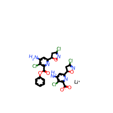 Nc1cc(C2CC(Cl)=NO2)nc(C(=O)Oc2ccccc2)c1Cl.Nc1cc(C2CC(Cl)=NO2)nc(C(=O)[O-])c1Cl.[Li+]